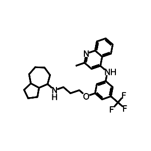 Cc1cc(Nc2cc(OCCCNC3CCCCC4CCCC43)cc(C(F)(F)F)c2)c2ccccc2n1